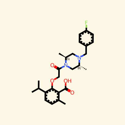 Cc1ccc(C(C)C)c(OCC(=O)N2C[C@@H](C)N(Cc3ccc(F)cc3)C[C@@H]2C)c1C(=O)O